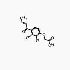 C/C=C/C(=O)c1ccc(OCC(=O)O)c(Cl)c1Cl